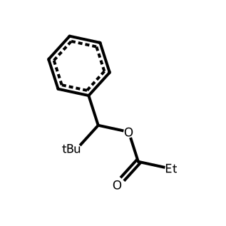 [CH2]CC(=O)OC(c1ccccc1)C(C)(C)C